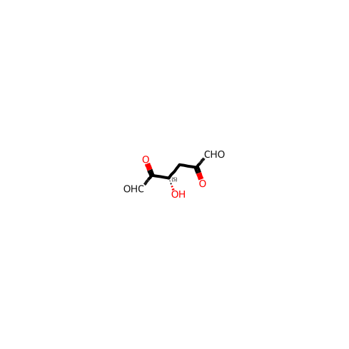 O=CC(=O)C[C@H](O)C(=O)C=O